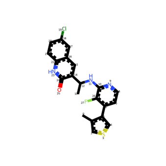 Cc1cscc1-c1ccnc(NC(C)c2cc3cc(Cl)ccc3[nH]c2=O)c1F